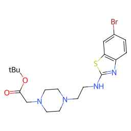 CC(C)(C)OC(=O)CN1CCN(CCNc2nc3ccc(Br)cc3s2)CC1